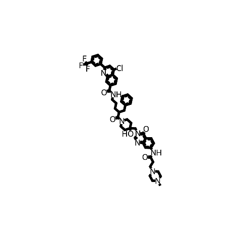 CN1CCN(CCC(=O)Nc2ccc3c(=O)n(CC4(O)CCN(C(=O)C(CCCNC(=O)c5ccc6c(Cl)cc(-c7cccc(C(F)(F)F)c7)nc6c5)Cc5ccccc5)CC4)cnc3c2)CC1